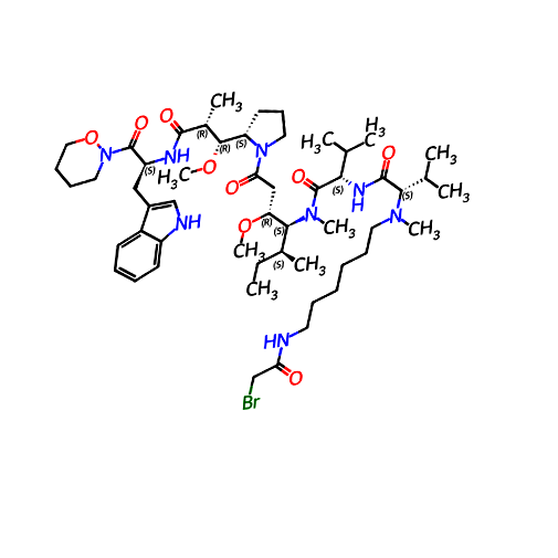 CC[C@H](C)[C@@H]([C@@H](CC(=O)N1CCC[C@H]1[C@H](OC)[C@@H](C)C(=O)N[C@@H](Cc1c[nH]c2ccccc12)C(=O)N1CCCCO1)OC)N(C)C(=O)[C@@H](NC(=O)[C@H](C(C)C)N(C)CCCCCCNC(=O)CBr)C(C)C